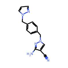 N#Cc1cn(Cc2ccc(Cn3cccn3)cc2)nc1N